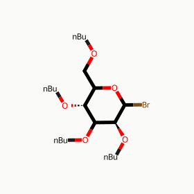 CCCCOCC1OC(Br)[C@@H](OCCCC)C(OCCCC)[C@@H]1OCCCC